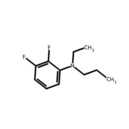 CCCN(CC)c1cccc(F)c1F